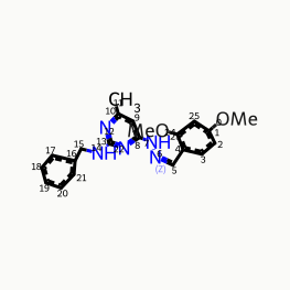 COc1ccc(/C=N\Nc2cc(C)nc(NCc3ccccc3)n2)c(OC)c1